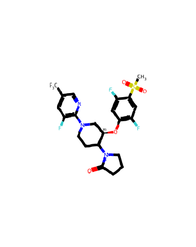 CS(=O)(=O)c1cc(F)c(O[C@@H]2CN(c3ncc(C(F)(F)F)cc3F)CCC2N2CCCC2=O)cc1F